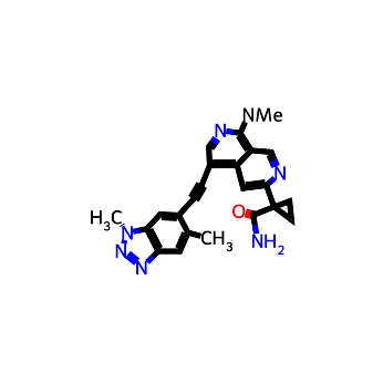 CNc1ncc(C#Cc2cc3c(cc2C)nnn3C)c2cc(C3(C(N)=O)CC3)ncc12